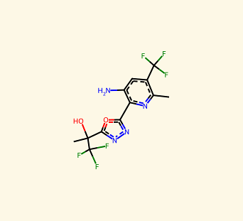 Cc1nc(-c2nnc(C(C)(O)C(F)(F)F)o2)c(N)cc1C(F)(F)F